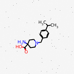 CC(C)c1ccc(CN2CCC(N)(C(=O)O)CC2)cc1